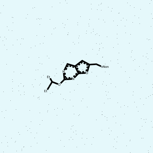 CCCCCCCCCCc1cc2cnc(OC(CC)CC)nc2o1